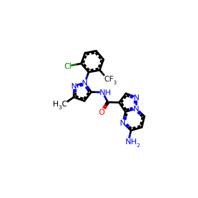 Cc1cc(NC(=O)c2cnn3ccc(N)nc23)n(-c2c(Cl)cccc2C(F)(F)F)n1